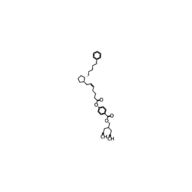 C#CCC(CC#C)COC(=O)c1ccc(OC(=O)CCC/C=C\C[C@H]2CCC[C@@H]2CCCCCc2ccccc2)cc1